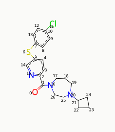 O=C(c1ccc(Sc2ccc(Cl)cc2)cn1)N1CCCN(C2CCC2)CC1